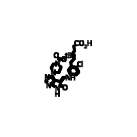 CC(C)(C)OC(=O)N1CCN(c2ncnc3c2/C(=C/Nc2ccc(Cl)c(CCCCCC(=O)O)c2)C(=O)N3)CC1